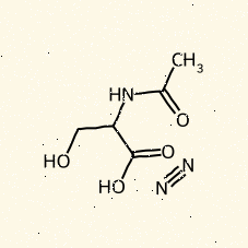 CC(=O)NC(CO)C(=O)O.N#N